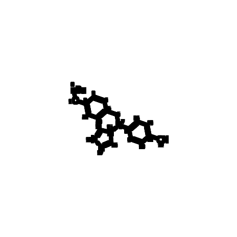 CCCCOc1ccc(CN(c2ccc(C#N)cc2)n2cnnc2)cc1